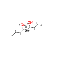 CCC[CH2][Sn][CH2]CCC.O=CO